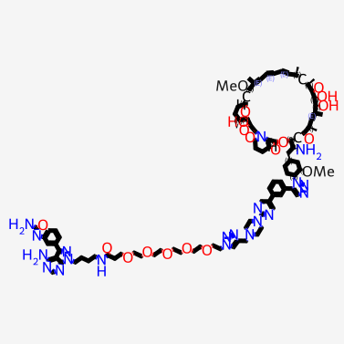 CO[C@H]1C[C@@H]2CC[C@@H](C)[C@@](O)(O2)C(=O)C(=O)N2CCCC[C@H]2C(=O)O[C@H]([C@H](N)C[C@@H]2CC[C@H](n3nncc3-c3cccc(-c4cnc(N5CCN(Cc6cn(CCOCCOCCOCCOCCOCCC(=O)NCCCCn7nc(-c8ccc9oc(N)nc9c8)c8c(N)ncnc87)nn6)CC5)nc4)c3)[C@H](OC)C2)CC(=O)[C@H](C)/C=C(\C)[C@@H](O)[C@@H](O)C(=O)[C@H](C)C[C@H](C)/C=C/C=C/C=C/1C